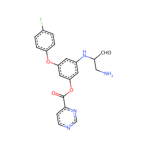 NCC(C=O)Nc1cc(OC(=O)c2ccncn2)cc(Oc2ccc(F)cc2)c1